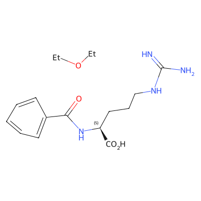 CCOCC.N=C(N)NCCC[C@H](NC(=O)c1ccccc1)C(=O)O